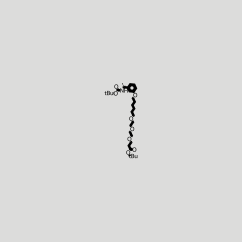 C[C@@H](NC(=O)OC(C)(C)C)c1cccc(OCCCCCCOCCOCCOCCC(=O)OC(C)(C)C)c1